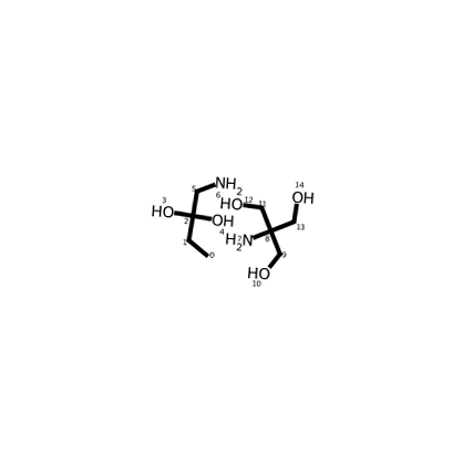 CCC(O)(O)CN.NC(CO)(CO)CO